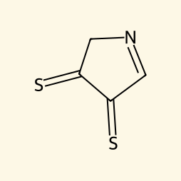 S=C1C=NCC1=S